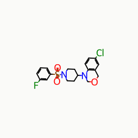 O=S(=O)(c1cccc(F)c1)N1CCC(N2COCc3cc(Cl)ccc32)CC1